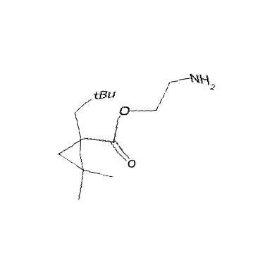 CC(C)(C)CC1(C(=O)OCCN)CC1(C)C